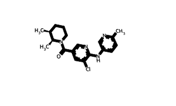 Cc1ccc(Nc2ncc(C(=O)N3CCC[C@H](C)[C@@H]3C)cc2Cl)cn1